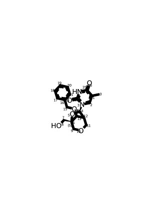 Cc1cn([C@@H]2O[C@@]3(CO)COCC2C3OCc2ccccc2)c(=O)[nH]c1=O